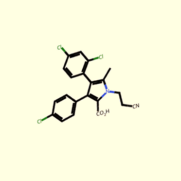 Cc1c(-c2ccc(Cl)cc2Cl)c(-c2ccc(Cl)cc2)c(C(=O)O)n1CCC#N